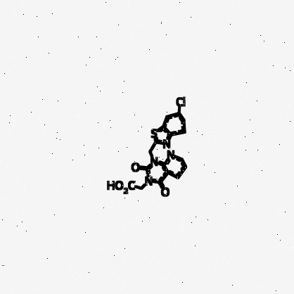 O=C(O)Cn1c(=O)c2cccnc2n(Cc2nc3ccc(Cl)cc3s2)c1=O